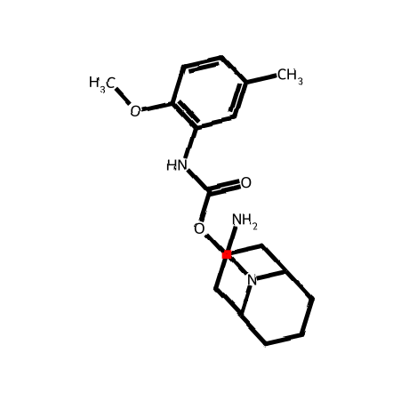 COc1ccc(C)cc1NC(=O)OC1CC2CCCC(C1)N2CN